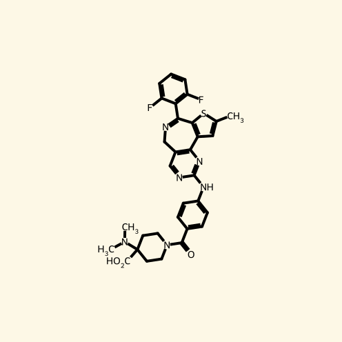 Cc1cc2c(s1)C(c1c(F)cccc1F)=NCc1cnc(Nc3ccc(C(=O)N4CCC(C(=O)O)(N(C)C)CC4)cc3)nc1-2